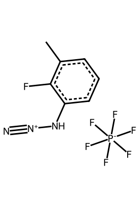 Cc1cccc(N[N+]#N)c1F.F[P-](F)(F)(F)(F)F